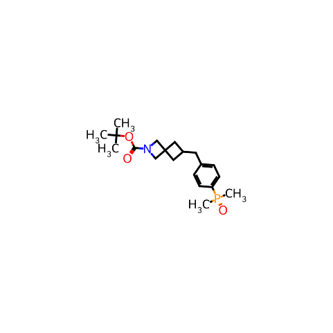 CC(C)(C)OC(=O)N1CC2(CC(Cc3ccc(P(C)(C)=O)cc3)C2)C1